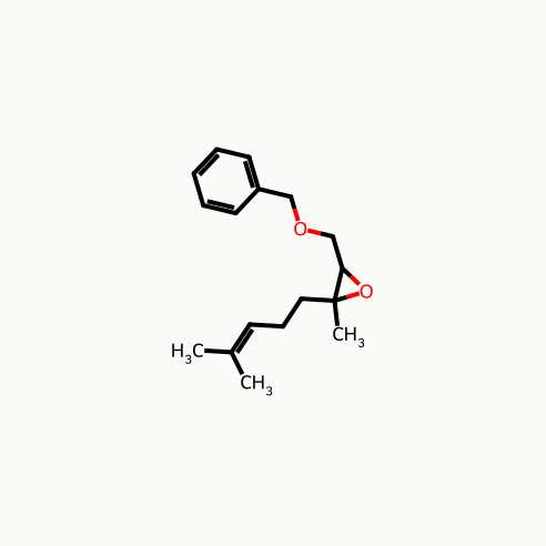 CC(C)=CCCC1(C)OC1COCc1ccccc1